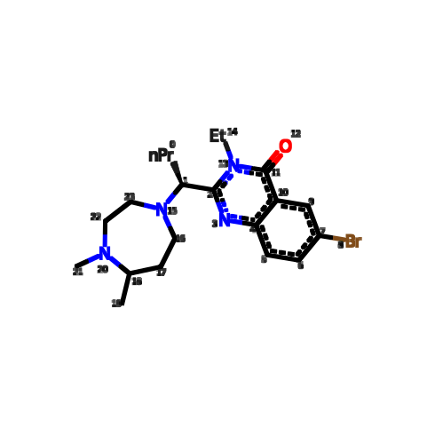 CCC[C@@H](c1nc2ccc(Br)cc2c(=O)n1CC)N1CCC(C)N(C)CC1